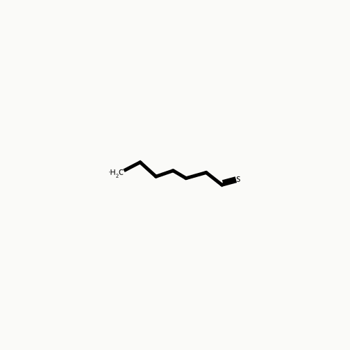 [CH2]CCCCC[C]=S